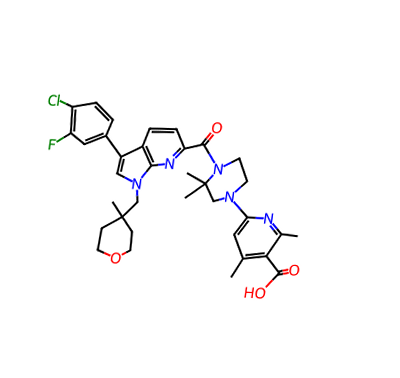 Cc1cc(N2CCN(C(=O)c3ccc4c(-c5ccc(Cl)c(F)c5)cn(CC5(C)CCOCC5)c4n3)C(C)(C)C2)nc(C)c1C(=O)O